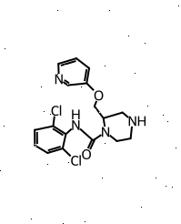 O=C(Nc1c(Cl)cccc1Cl)N1CCNCC1COc1cccnc1